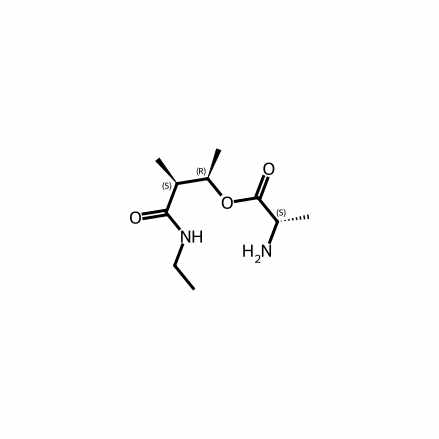 CCNC(=O)[C@@H](C)[C@@H](C)OC(=O)[C@H](C)N